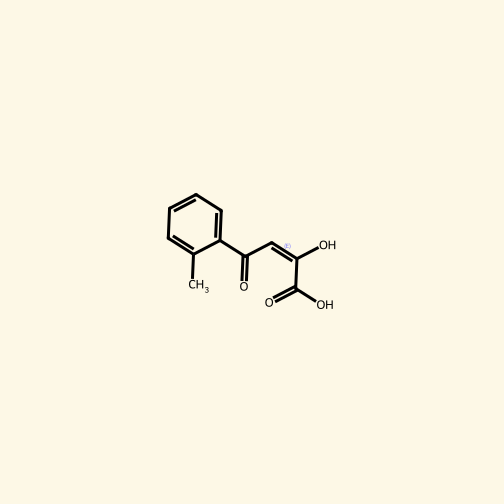 Cc1ccccc1C(=O)/C=C(/O)C(=O)O